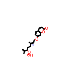 C=C(C)C(CC/C(C)=C/COc1ccc2ccc(=O)oc2c1)OO